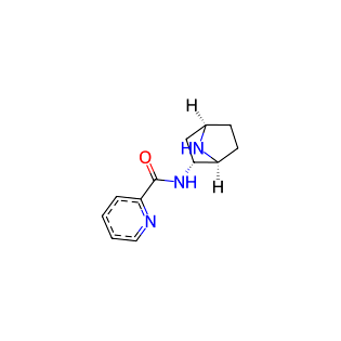 O=C(N[C@@H]1C[C@H]2CC[C@@H]1N2)c1ccccn1